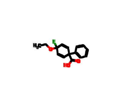 CCOC1(F)C=CC(C(=O)O)(c2ccccc2)C=C1